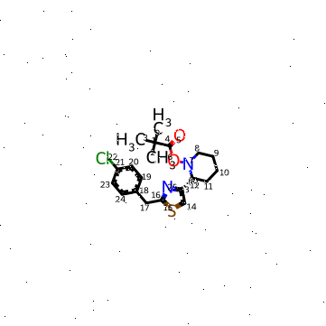 CC(C)(C)C(=O)ON1CCCC[C@@H]1c1csc(Cc2ccc(Cl)cc2)n1